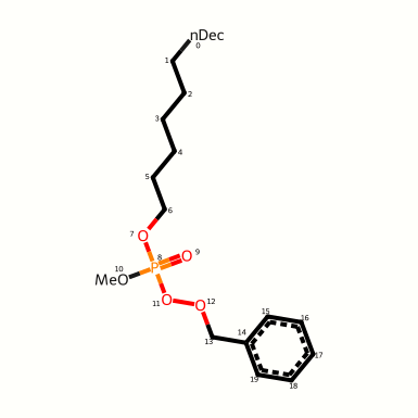 CCCCCCCCCCCCCCCCOP(=O)(OC)OOCc1ccccc1